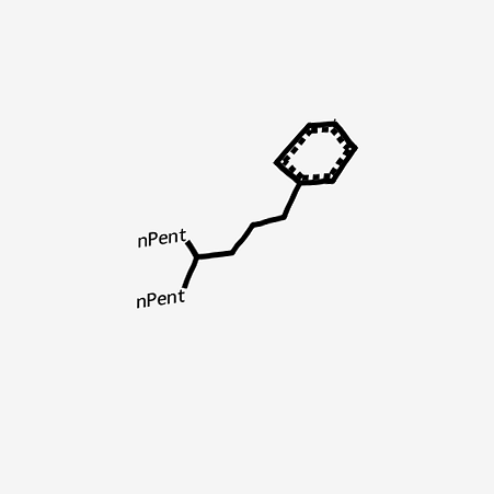 CCCCCC(CCCCC)CCCc1cc[c]cc1